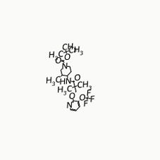 CC1CN(C(=O)OC(C)(C)C)CCC1NC(=O)C(C)(C)COc1ncccc1OC(F)(F)F